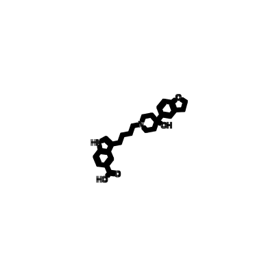 O=C(O)c1ccc2[nH]cc(CCCCN3CCC(O)(c4ccc5c(c4)CCO5)CC3)c2c1